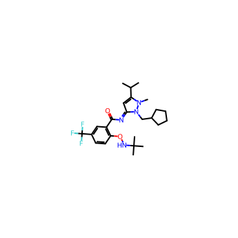 CC(C)c1cc(=NC(=O)c2cc(C(F)(F)F)ccc2ONC(C)(C)C)n(CC2CCCC2)n1C